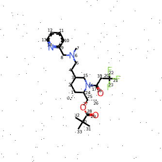 C[C@@H]1CC(CCN(C)Cc2ccccn2)CN(C(=O)CC(F)(F)F)C1[C@H](C)OC(=O)C(C)(C)C